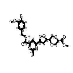 COC(=O)[C@@H]1CO[C@@H](C2CC(c3cc(C(=O)NCc4ccc(F)c(OC)c4)nc(C)n3)=NO2)CO1